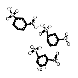 O=[N+]([O-])c1cccc(S(=O)(=O)[O-])c1.O=[N+]([O-])c1cccc(S(=O)(=O)[O-])c1.O=[N+]([O-])c1cccc(S(=O)(=O)[O-])c1.[Nd+3]